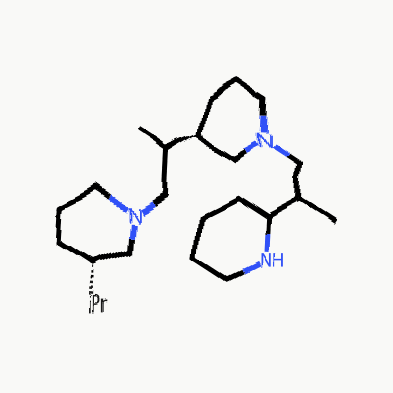 CC(CN1CCC[C@H](C(C)CN2CCC[C@@H](C(C)C)C2)C1)C1CCCCN1